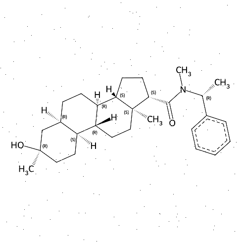 C[C@H](c1ccccc1)N(C)C(=O)[C@H]1CC[C@H]2[C@@H]3CC[C@@H]4C[C@](C)(O)CC[C@@H]4[C@H]3CC[C@]12C